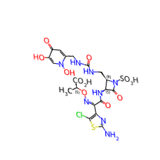 C[C@H](ON=C(C(=O)N[C@@H]1C(=O)N(S(=O)(=O)O)[C@@H]1CNC(=O)NCc1cc(=O)c(O)cn1O)c1nc(N)sc1Cl)C(=O)O